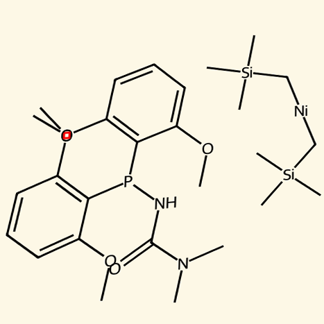 COc1cccc(OC)c1P(NC(=O)N(C)C)c1c(OC)cccc1OC.C[Si](C)(C)[CH2][Ni][CH2][Si](C)(C)C